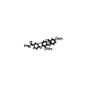 CCCOc1ccc(Nc2nccc(OC3CCN(C(=O)OC(C)C)CC3)c2OC)c(Cl)c1